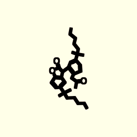 CCCCCC(C)(C)c1ccc(CC(C)=O)c(C2C(=O)Oc3ccc(C(C)(C)CCCCC)cc32)c1